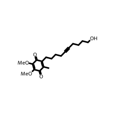 COC1=C(OC)C(=O)C(CCCCC#CCCCCO)=C(C)C1=O